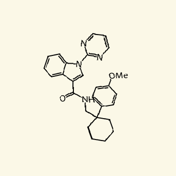 COc1ccc(C2(CNC(=O)c3cn(-c4ncccn4)c4ccccc34)CCCCC2)cc1